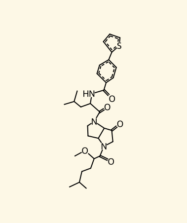 COC(CCC(C)C)C(=O)N1CC(=O)C2C1CCN2C(=O)C(CC(C)C)NC(=O)c1ccc(-c2cccs2)cc1